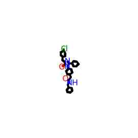 O=C(Cc1ccc(N2C(=O)C(=Cc3ccc(Cl)cc3)N=C2c2ccccc2)cc1)NCc1ccccc1